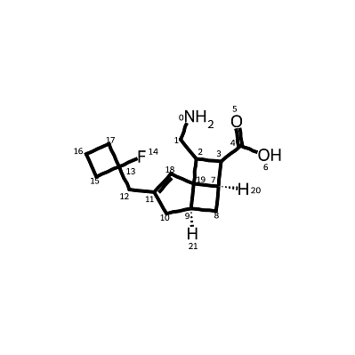 NCC1C(C(=O)O)[C@H]2C[C@H]3CC(CC4(F)CCC4)=CC132